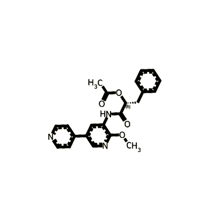 COc1ncc(-c2ccncc2)cc1NC(=O)[C@@H](Cc1ccccc1)OC(C)=O